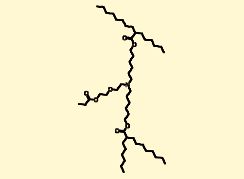 CCCCCCCCC(CCCCCC)C(=O)OCCCCCCN(CCCCCCOC(=O)C(CCCCCC)CCCCCCCC)CCOCCOC(=O)CC